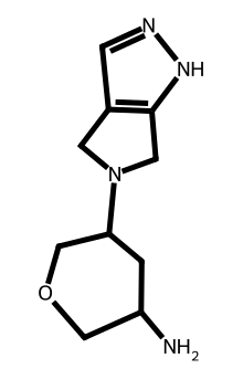 NC1COCC(N2Cc3cn[nH]c3C2)C1